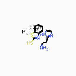 CC(=O)O.NCCc1ncc[nH]1.Sc1nc2ccccc2s1